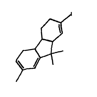 CC1=CCC2C(=C1)C(C)(C)C1C=C(I)CCC21